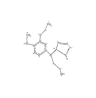 CCOc1cc(C(CCO)C2C=CCS2)ccc1OC